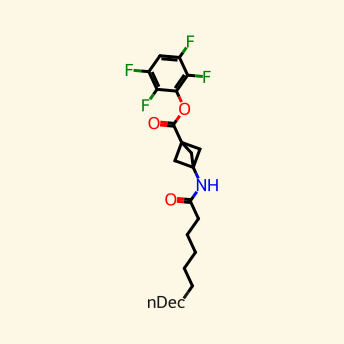 CCCCCCCCCCCCCCCC(=O)NC12CC(C(=O)Oc3c(F)c(F)cc(F)c3F)(C1)C2